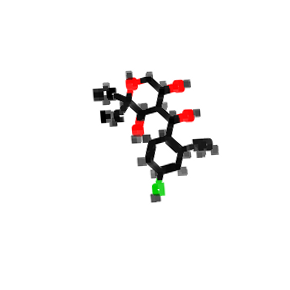 CC1(C)OCC(=O)C(C(=O)c2ccc(Cl)cc2[N+](=O)[O-])C1=O